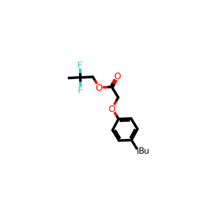 CCC(C)c1ccc(OCC(=O)OCC(C)(F)F)cc1